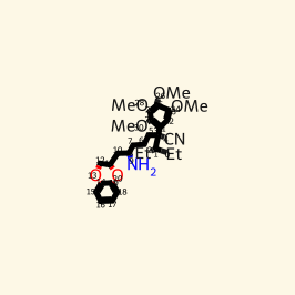 CCC(CC)C(C#N)(CCCC(N)CC1COc2ccccc2O1)c1cc(OC)c(OC)c(OC)c1OC